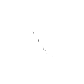 [CH2]CC=CCCCC=CCCCCCC